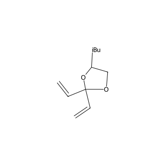 C=CC1(C=C)OCC(C(C)CC)O1